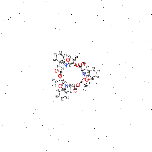 CC(C)C1OC(=O)C(Cc2ccccc2)N(C)C(=O)C(C(C)C)OC(=O)C(Cc2ccccc2)N(C)C(=O)C(C(C)C)OC(=O)C(Cc2ccccc2)N(C)C1=O